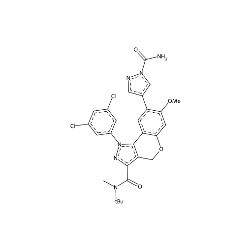 COc1cc2c(cc1-c1cnn(C(N)=O)c1)-c1c(c(C(=O)N(C)C(C)(C)C)nn1-c1cc(Cl)cc(Cl)c1)CO2